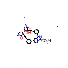 CN1CCC(O)(C#Cc2cccc(-c3ccn4c(C(=O)O)nc(-c5cccc(C#CC6(O)CCN(C)C6=O)c5)c4c3)c2)C1=O